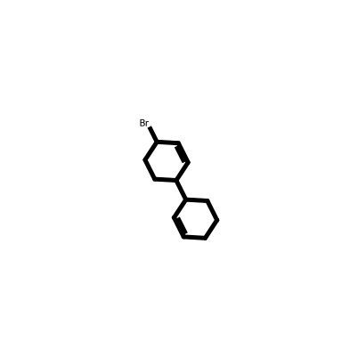 BrC1C=CC(C2C=CCCC2)CC1